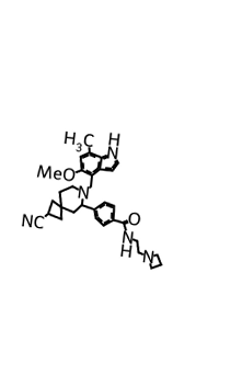 COc1cc(C)c2[nH]ccc2c1CN1CCC2(CC(C#N)C2)CC1c1ccc(C(=O)NCCN2CCC2)cc1